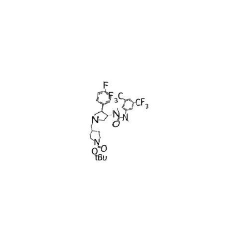 CN(C(=O)N(C)[C@@H]1CN(CC2CCN(C(=O)OC(C)(C)C)CC2)C[C@H]1c1ccc(F)cc1)c1cc(C(F)(F)F)cc(C(F)(F)F)c1